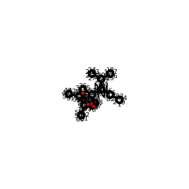 c1ccc(-c2ccc(-c3nc(-c4cc(-c5ccccc5)cc(-c5ccccc5)c4)nc(-c4cc(-c5ccccc5)c(-n5c6ccc(-c7ccccc7)cc6c6cc(-c7ccccc7)cc(-c7ccccc7)c65)c(-c5ccccc5)c4)n3)cc2)cc1